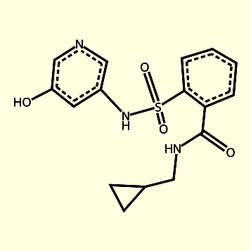 O=C(NCC1CC1)c1ccccc1S(=O)(=O)Nc1cncc(O)c1